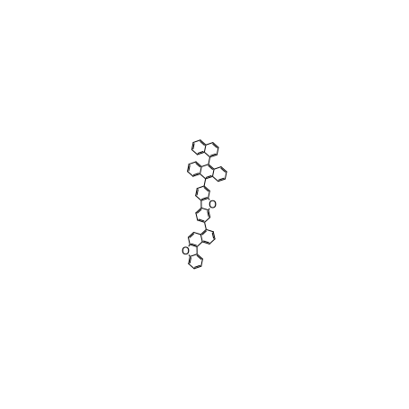 c1ccc2c(-c3c4ccccc4c(-c4ccc5c(c4)oc4cc(-c6cccc7c6ccc6oc8ccccc8c67)ccc45)c4ccccc34)cccc2c1